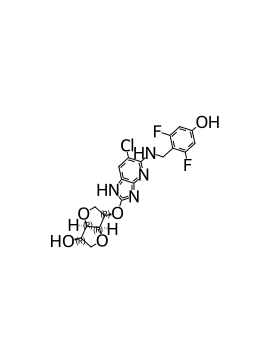 Oc1cc(F)c(CNc2nc3nc(O[C@@H]4CO[C@H]5[C@@H]4OC[C@H]5O)[nH]c3cc2Cl)c(F)c1